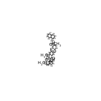 COC(=O)[C@@H]1[C@H](NC(=O)c2cc(OC3CCC(C)(C(=O)OCc4cccc5ccccc45)CC3)c(F)cc2OC)[C@H]2C=C[C@@H]1C2